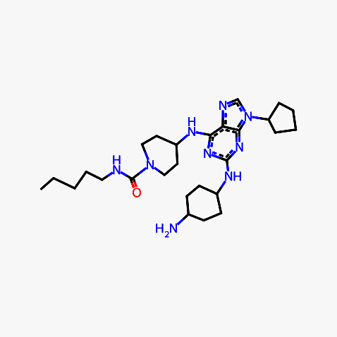 CCCCCNC(=O)N1CCC(Nc2nc(NC3CCC(N)CC3)nc3c2ncn3C2CCCC2)CC1